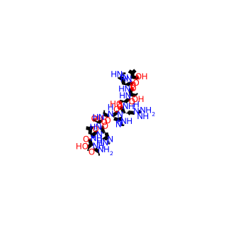 CC(C)C[C@H](NC(=O)[C@@H](NC(=O)[C@H](C)N)[C@@H](C)O)C(=O)N[C@@H](Cc1c[nH]cn1)C(=O)N[C@@H](CO)C(=O)N[C@@H](C)C(=O)N[C@@H](Cc1c[nH]cn1)C(=O)N[C@@H](CCCNC(=N)N)C(=O)N[C@@H](CO)C(=O)N[C@H](C(=O)N[C@@H](Cc1c[nH]cn1)C(=O)N[C@H](C(=O)O)C(C)C)[C@@H](C)O